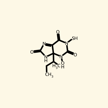 CCC(C)C12NC(=O)N=C1C(=O)N(S)C(=O)N2O